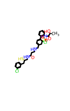 C[C@H](O)C(=O)NS(=O)(=O)C1(Cl)CC(CNCCC(=O)NC[C@H](S)Cc2cccc(Cl)c2)=CC=C1c1ccccc1